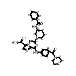 NC(=O)c1cnc2c(Nc3ccc(C(=O)N4CCOCC4)cc3)nc(N3CCC[C@@H](NC(=O)c4ccccc4)C3)nn12